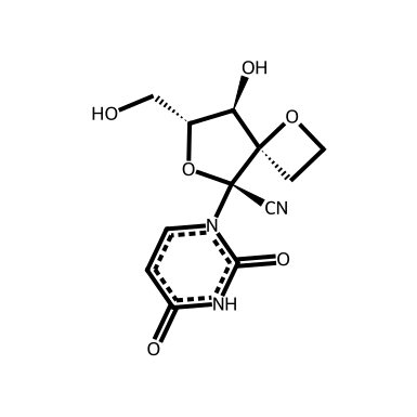 N#C[C@@]1(n2ccc(=O)[nH]c2=O)O[C@H](CO)[C@@H](O)[C@]12CCO2